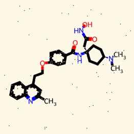 Cc1cc(CCOc2ccc(C(=O)N[C@]3(CC(=O)NO)CC[C@@H](N(C)C)CC3)cc2)c2ccccc2n1